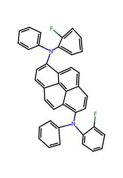 Fc1ccccc1N(c1ccccc1)c1ccc2ccc3c(N(c4ccccc4)c4ccccc4F)ccc4ccc1c2c43